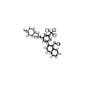 CN1CCC(CNc2nc(-c3ccc4ccccc4c3C=O)nc(C(Cl)(Cl)Cl)n2)CC1